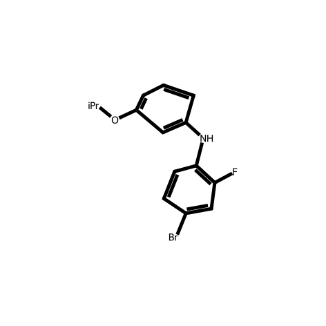 CC(C)Oc1cccc(Nc2ccc(Br)cc2F)c1